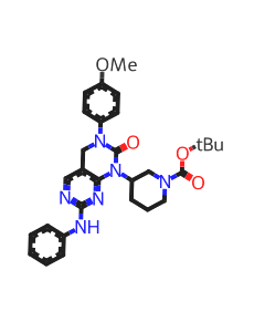 COc1ccc(N2Cc3cnc(Nc4ccccc4)nc3N(C3CCCN(C(=O)OC(C)(C)C)C3)C2=O)cc1